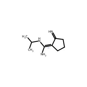 CC(C)N/C(N)=C1/CCCC1=N